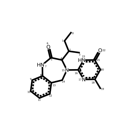 CCC(C)C1C(=O)Nc2ccccc2CN1c1nc(C)cc(=O)[nH]1